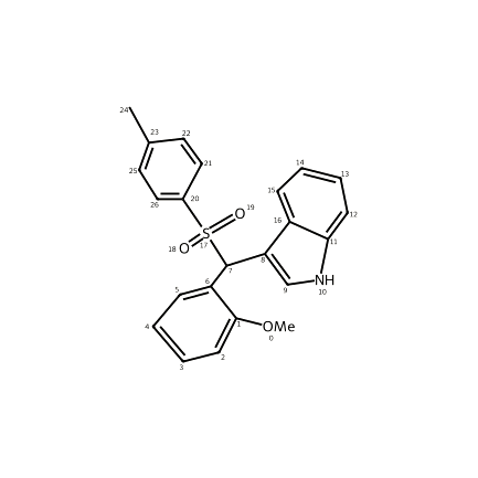 COc1ccccc1C(c1c[nH]c2ccccc12)S(=O)(=O)c1ccc(C)cc1